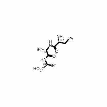 CC(C)C[C@H](N)C(=O)N[C@H](C(=O)N[C@H](C(=O)O)C(C)C)C(C)C